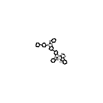 CC1(C)c2ccccc2-c2ncnc(-n3c4ccc(-c5ccc6c(c5)n5c7ccccc7nc5n6-c5ccc(-c6ccccc6)cc5)cc4n4c5ccccc5nc34)c21